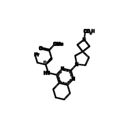 COC(=O)C[C@H](CC(C)C)Nc1nc(N2CCC3(CN(C(=O)O)C3)C2)nc2c1CCCC2